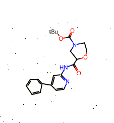 CC(C)(C)OC(=O)N1CCOC(C(=O)Nc2cc(-c3ccccc3)ccn2)C1